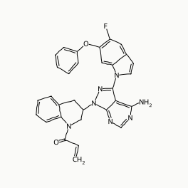 C=CC(=O)N1CC(n2nc(-n3ccc4cc(F)c(Oc5ccccc5)cc43)c3c(N)ncnc32)Cc2ccccc21